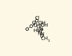 CCO/N=c1\nc[nH]c2c1ccn2[C@@H]1O[C@H](C(OC(=O)c2ccc(-c3ccccc3)cc2)c2ccc(Cl)cc2)[C@@H](O)[C@H]1O